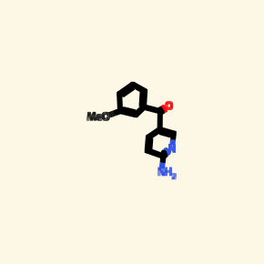 COc1cccc(C(=O)c2ccc(N)nc2)c1